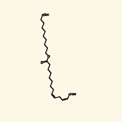 CCCCCC/C=C\C/C=C\CCCCCCCC(=O)OCCCCCCCCCCCCCCCCCCC